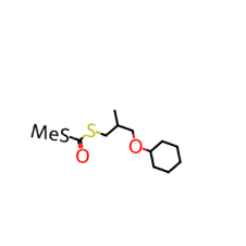 CSC(=O)SCC(C)COC1CCCCC1